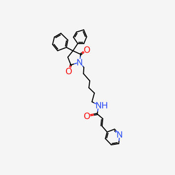 O=C(C=Cc1cccnc1)NCCCCCCN1C(=O)CC(c2ccccc2)(c2ccccc2)C1=O